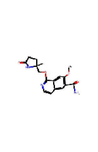 CC(C)Oc1cc2c(OC[C@@]3(C)CCC(=O)N3)nccc2cc1C(N)=O